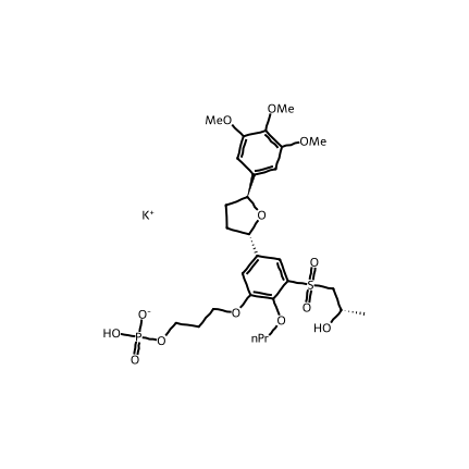 CCCOc1c(OCCCOP(=O)([O-])O)cc([C@@H]2CC[C@@H](c3cc(OC)c(OC)c(OC)c3)O2)cc1S(=O)(=O)C[C@H](C)O.[K+]